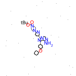 CC(C)(C)OC(=O)N1CCN(c2ccc(-c3nc(-c4ccc(Oc5ccccc5)cc4)c4c(N)nccn34)cn2)CC1